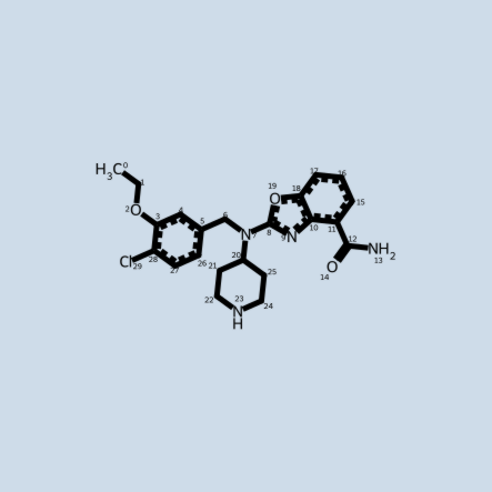 CCOc1cc(CN(c2nc3c(C(N)=O)[c]ccc3o2)C2CCNCC2)ccc1Cl